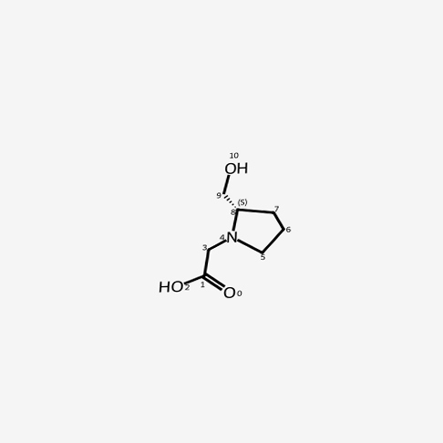 O=C(O)CN1CCC[C@H]1CO